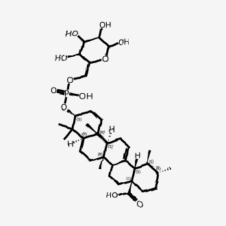 C[C@H]1[C@H](C)CC[C@]2(C(=O)O)CCC3C(=CC[C@@H]4[C@@]5(C)CC[C@H](OP(=O)(O)OCC6OC(O)C(O)C(O)C6O)C(C)(C)[C@@H]5CC[C@@]34C)[C@H]12